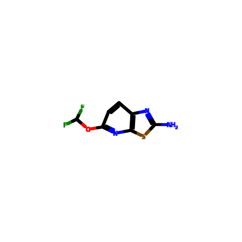 Nc1nc2ccc(OC(F)F)nc2s1